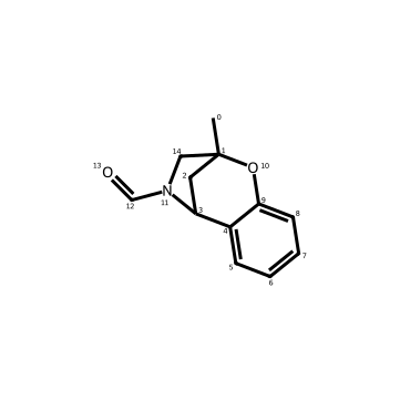 CC12CC(c3ccccc3O1)N(C=O)C2